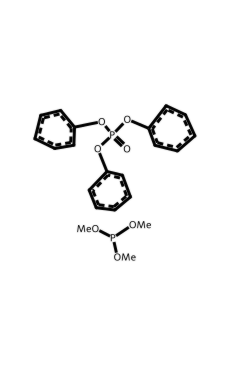 COP(OC)OC.O=P(Oc1ccccc1)(Oc1ccccc1)Oc1ccccc1